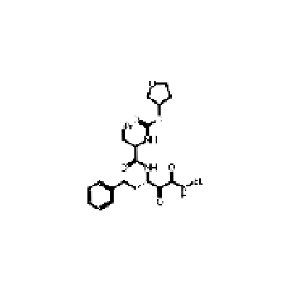 CCNC(=O)C(=O)[C@H](CCc1ccccc1)NC(=O)C(CC(C)C)NC(=O)OC1CCOC1